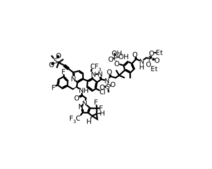 CCOP(=O)(CNC(=O)c1cc(C)c(C(C)(C)CC(=O)N(c2nn(CC(F)(F)F)c3c(-c4ccc(C#CC(C)(C)S(C)(=O)=O)nc4[C@H](Cc4cc(F)cc(F)c4)NC(=O)Cn4nc(C(F)(F)F)c5c4C(F)(F)[C@@H]4C[C@H]54)ccc(Cl)c23)S(C)(=O)=O)c(OP(=O)(O)O)c1)OCC